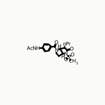 CCC[C@H]1C(=O)N(S(C)(=O)=O)[C@H]2CCN(C(=O)c3ccc(NC(C)=O)cc3)[C@H]12